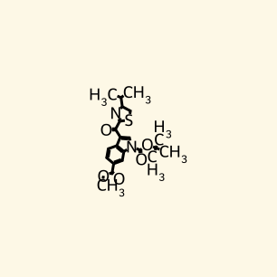 COC(=O)c1ccc2c(C(=O)C3=NC(C(C)C)CS3)cn(C(=O)OC(C)(C)C)c2c1